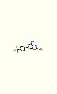 Nc1nc2c(N)nc(-c3ccc(C(F)(F)F)cc3)nc2s1